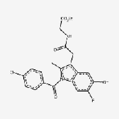 CCOC(=O)CNC(=O)Cc1c(C)n(C(=O)c2ccc(Cl)cc2)c2cc(F)c(O)cc12